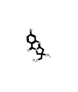 CCC1(C)Cc2nc3cc(Br)ccc3c(=O)n2C1